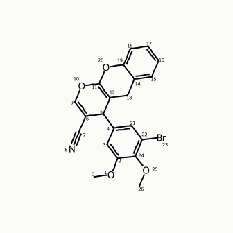 COc1cc(C2C(C#N)=COC3=C2Cc2ccccc2O3)cc(Br)c1OC